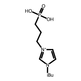 CCC(C)n1cc[n+](CCCP(=O)(O)O)c1